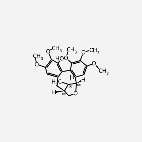 COc1cc2c(c(O)c1OC)-c1c(cc(OC)c(OC)c1OC)[C@@H]1OC[C@H](C2)[C@H]1C